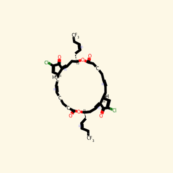 O=C1CCC/C=C\C[C@H]2C=C(Cl)C(=O)/C2=C/C[C@H](C/C=C\CC(F)(F)F)OC(=O)CCC/C=C\C[C@H]2C=C(Cl)C(=O)/C2=C/C[C@H](C/C=C\CC(F)(F)F)O1